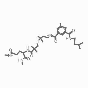 CNC(=O)CCC(NC(=O)C(C)(C)COC(C)(C)CCNC(=O)c1cc(C)cc(C(=O)NCCC(C)C)c1)C(=O)NC